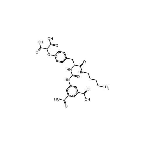 CCCCCNC(=O)[C@H](Cc1ccc(OC(C(=O)O)C(=O)O)cc1)NC(=O)Nc1cc(C(=O)O)cc(C(=O)O)c1